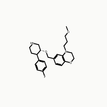 COCCCN1CCOc2ccc(CO[C@H]3CNCCC3c3ccc(F)cc3)cc21